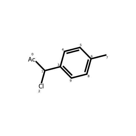 CC(=O)C(Cl)c1ccc(C)cc1